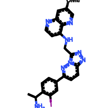 COc1cnc2c(NCc3nnc4ccc(-c5ccc(C(C)N)c(I)c5)nn34)ccnc2c1